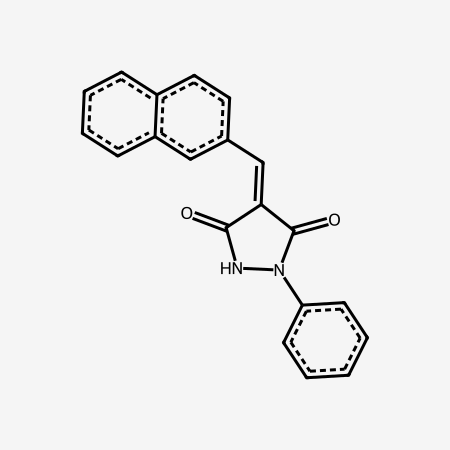 O=C1NN(c2ccccc2)C(=O)C1=Cc1ccc2ccccc2c1